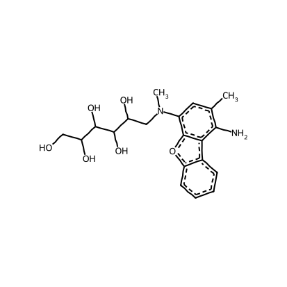 Cc1cc(N(C)CC(O)C(O)C(O)C(O)CO)c2oc3ccccc3c2c1N